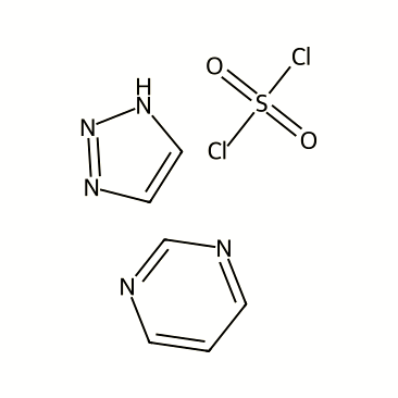 O=S(=O)(Cl)Cl.c1c[nH]nn1.c1cncnc1